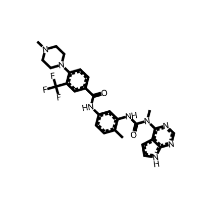 Cc1ccc(NC(=O)c2ccc(N3CCN(C)CC3)c(C(F)(F)F)c2)cc1NC(=O)N(C)c1ncnc2[nH]ccc12